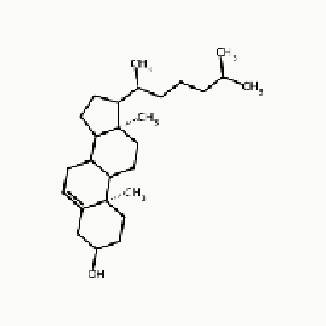 CC(C)CCC[C@H](C)C1CCC2C3CC=C4CC(O)CC[C@]4(C)C3CC[C@@]21C